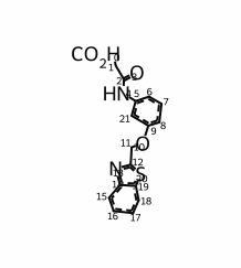 O=C(O)CC(=O)Nc1cccc(OCc2nc3ccccc3s2)c1